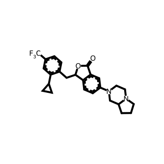 O=C1OC(Cc2ccc(C(F)(F)F)cc2C2CC2)c2ccc(N3CCN4CCCC4C3)cc21